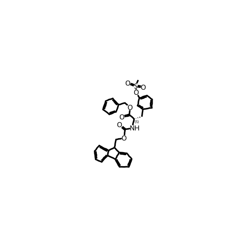 CS(=O)(=O)Oc1cccc(C[C@H](NC(=O)OCC2c3ccccc3-c3ccccc32)C(=O)OCc2ccccc2)c1